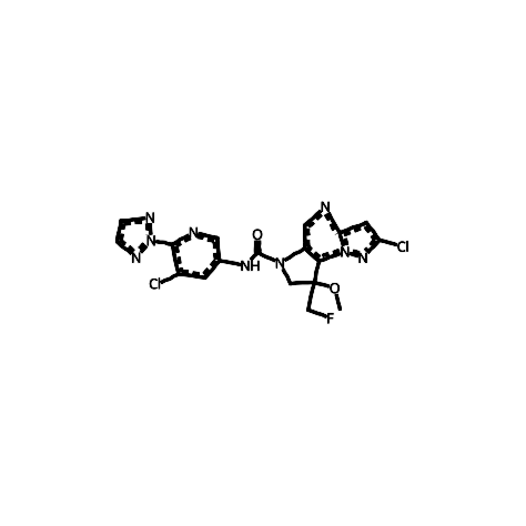 COC1(CF)CN(C(=O)Nc2cnc(-n3nccn3)c(Cl)c2)c2cnc3cc(Cl)nn3c21